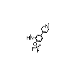 CNc1cc(C2=CCN(C)CC2)ccc1OC(F)(F)F